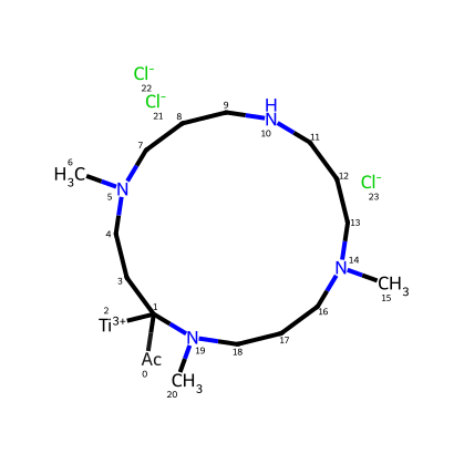 CC(=O)[C]1([Ti+3])CCN(C)CCCNCCCN(C)CCCN1C.[Cl-].[Cl-].[Cl-]